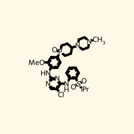 COc1cc(P2(=O)CCC(N3CCN(C)CC3)CC2)ccc1Nc1ncc(Cl)c(Nc2ccccc2S(=O)(=O)C(C)C)n1